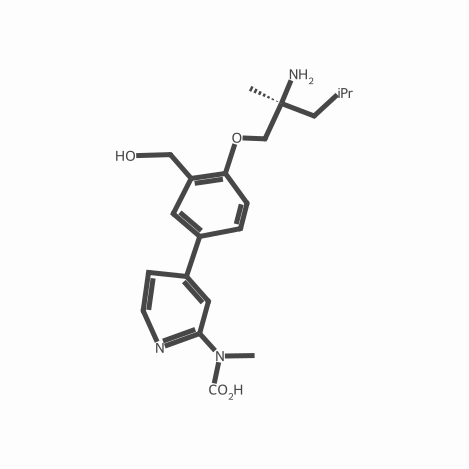 CC(C)C[C@](C)(N)COc1ccc(-c2ccnc(N(C)C(=O)O)c2)cc1CO